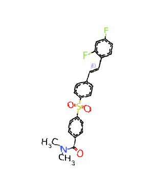 CN(C)C(=O)c1ccc(S(=O)(=O)c2ccc(/C=C/c3ccc(F)cc3F)cc2)cc1